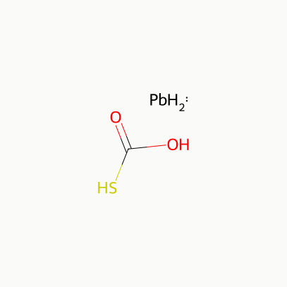 O=C(O)S.[PbH2]